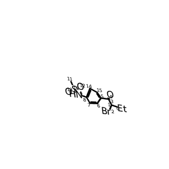 CCC(Br)C(=O)c1ccc(NS(C)(=O)=O)cc1